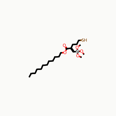 CCCCCCCCCCCCOC(=O)C(=C[Si](OC)(OC)OC)CCCS